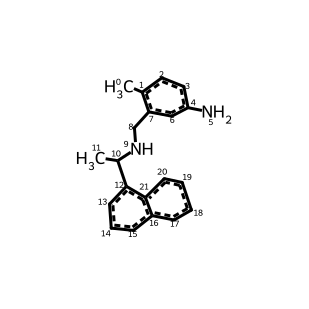 Cc1ccc(N)cc1CNC(C)c1cccc2ccccc12